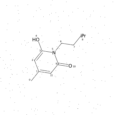 Cc1cc(O)n(CCC(C)C)c(=O)c1